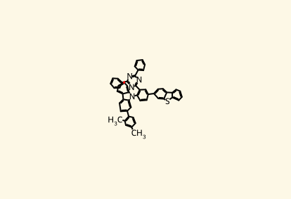 Cc1ccc(-c2ccc3c4ccccc4n(-c4ccc(-c5ccc6c(c5)sc5ccccc56)cc4-c4nc(-c5ccccc5)nc(-c5ccccc5)n4)c3c2)c(C)c1